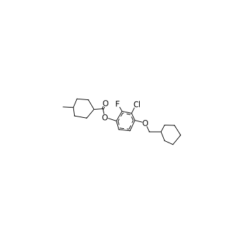 CC1CCC(C(=O)Oc2ccc(OCC3CCCCC3)c(Cl)c2F)CC1